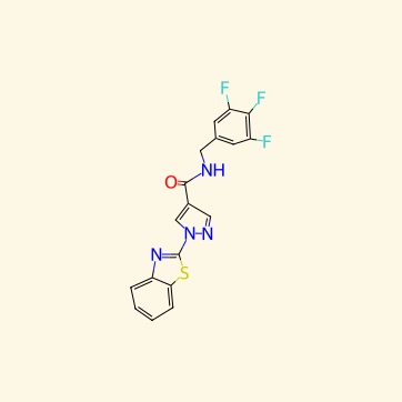 O=C(NCc1cc(F)c(F)c(F)c1)c1cnn(-c2nc3ccccc3s2)c1